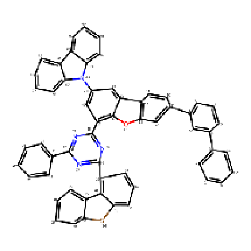 c1ccc(-c2cccc(-c3ccc4c(c3)oc3c(-c5nc(-c6ccccc6)nc(-c6cccc7sc8ccccc8c67)n5)cc(-n5c6ccccc6c6ccccc65)cc34)c2)cc1